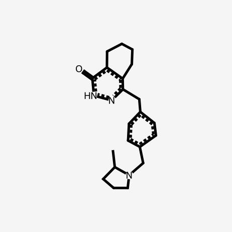 CC1CCCN1Cc1ccc(Cc2n[nH]c(=O)c3c2CCCC3)cc1